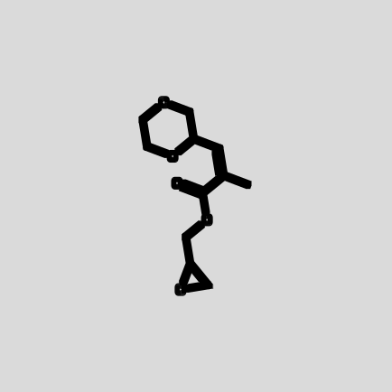 CC(=CC1COCCO1)C(=O)OCC1CO1